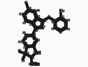 COC1Nc2nc(-c3nn(Cc4ccccc4F)c4nc(C)ncc34)nnc2C1(C)C